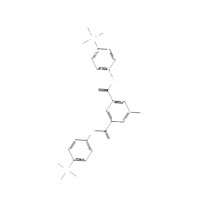 C[Si](C)(C)c1ccc(NC(=O)c2cc(N)cc(C(=O)Nc3ccc([Si](C)(C)C)cc3)c2)cc1